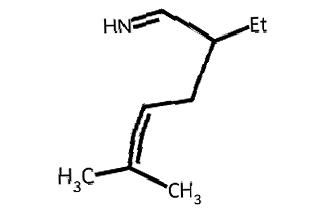 CCC(C=N)CC=C(C)C